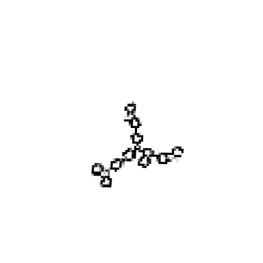 c1ccc2c(c1)oc1cc(-c3ccc(N(c4ccc(-c5ccc(-n6c7ccccc7c7ccccc76)cc5)cc4)c4ccc(-c5ccc6oc7ccccc7c6c5)c5ccccc45)cc3)ccc12